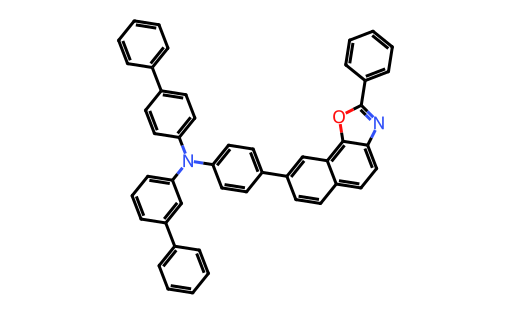 c1ccc(-c2ccc(N(c3ccc(-c4ccc5ccc6nc(-c7ccccc7)oc6c5c4)cc3)c3cccc(-c4ccccc4)c3)cc2)cc1